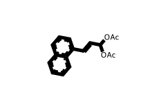 CC(=O)OC(C=Cc1cccc2ccccc12)OC(C)=O